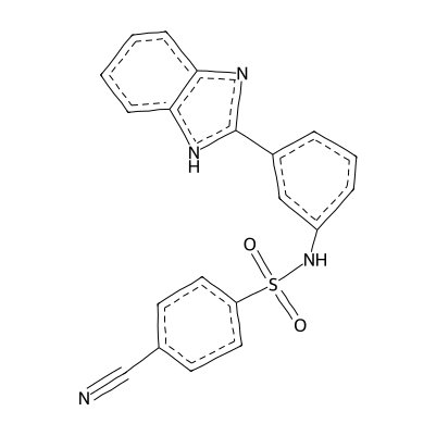 N#Cc1ccc(S(=O)(=O)Nc2cccc(-c3nc4ccccc4[nH]3)c2)cc1